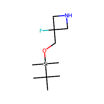 CC(C)(C)[Si](C)(C)OCC1(F)CNC1